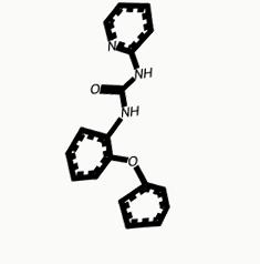 O=C(Nc1ccccn1)Nc1ccccc1Oc1ccccc1